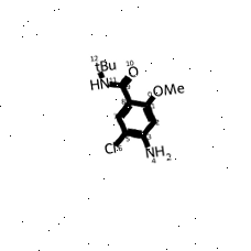 COc1cc(N)c(Cl)cc1C(=O)NC(C)(C)C